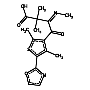 C/N=C(\C(=O)c1c(C)sc(-c2ncco2)c1C)C(C)(C)C(=O)O